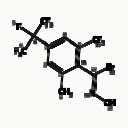 Cc1cc(C(F)(C(F)(F)F)C(F)(F)F)cc(C(F)(F)F)c1C(Br)=NO